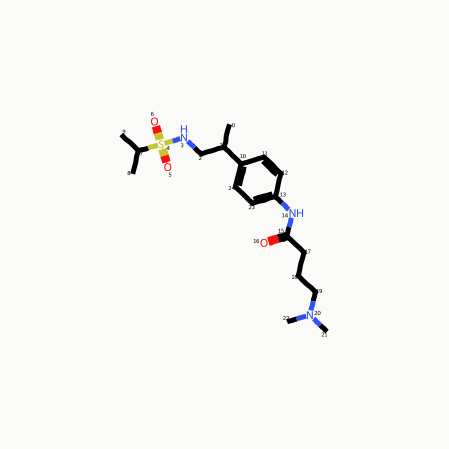 CC(CNS(=O)(=O)C(C)C)c1ccc(NC(=O)CCCN(C)C)cc1